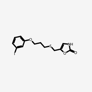 O=c1[nH]cc(CSCCCOc2cccc(I)c2)o1